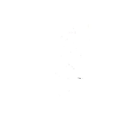 Cc1ccc([C@H](C)N2CCC(CC(C)(C)O)(c3ccc(F)cc3)OC2=O)cc1